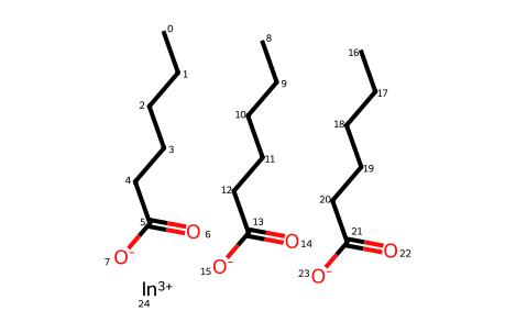 CCCCCC(=O)[O-].CCCCCC(=O)[O-].CCCCCC(=O)[O-].[In+3]